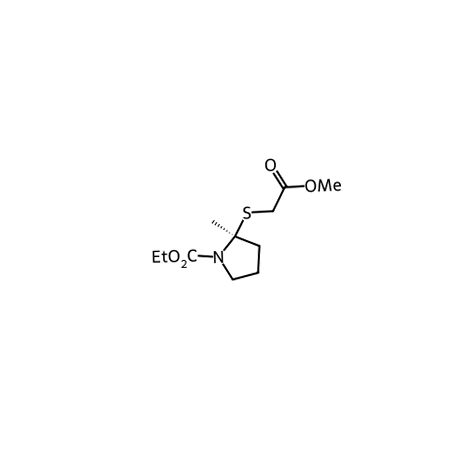 CCOC(=O)N1CCC[C@]1(C)SCC(=O)OC